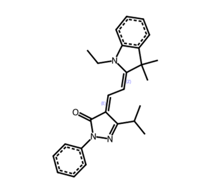 CCN1/C(=C\C=C2\C(=O)N(c3ccccc3)N=C2C(C)C)C(C)(C)c2ccccc21